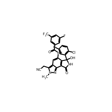 Cn1nc2c3c(c(NC(=O)c4cc(F)cc(C(F)(F)F)c4)cc2c1CC#N)C(O)(c1cc(F)ccc1Cl)NC3=O